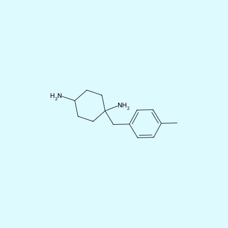 Cc1ccc(CC2(N)CCC(N)CC2)cc1